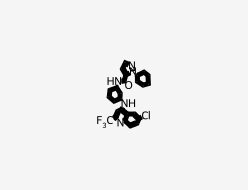 O=C(N[C@@H]1CCC[C@H](Nc2cc(C(F)(F)F)nc3ccc(Cl)cc23)C1)c1ccnn1C1CCCCC1